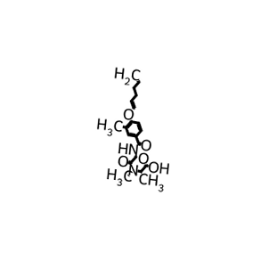 C=CCC/C=C/Oc1ccc(C(=O)NCC(=O)N(C)[C@@H](C)C(=O)O)cc1C